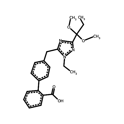 CCn1nc(C(CC)(OC)OC)nc1Cc1ccc(-c2ccccc2C(=O)O)cc1